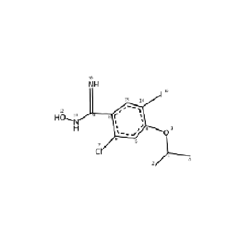 CC(C)Oc1cc(Cl)c(C(=N)NO)cc1I